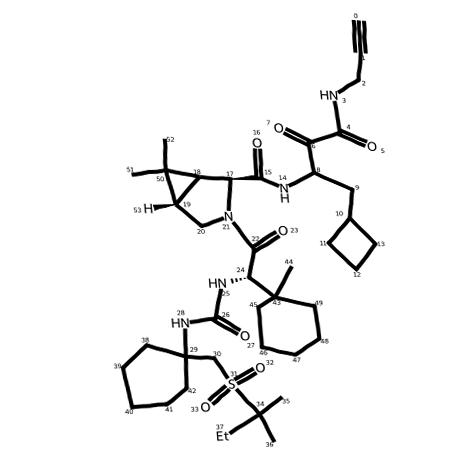 C#CCNC(=O)C(=O)C(CC1CCC1)NC(=O)[C@@H]1C2[C@H](CN1C(=O)[C@@H](NC(=O)NC1(CS(=O)(=O)C(C)(C)CC)CCCCC1)C1(C)CCCCC1)C2(C)C